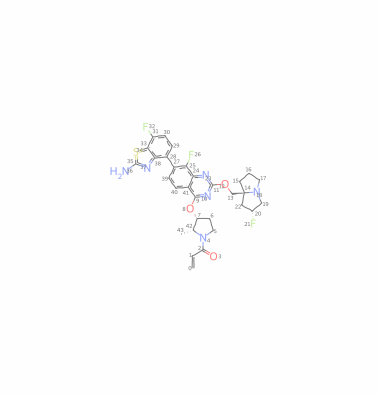 C=CC(=O)N1CC[C@@H](Oc2nc(OC[C@@]34CCCN3C[C@H](F)C4)nc3c(F)c(-c4ccc(F)c5sc(N)nc45)ccc23)[C@H]1C